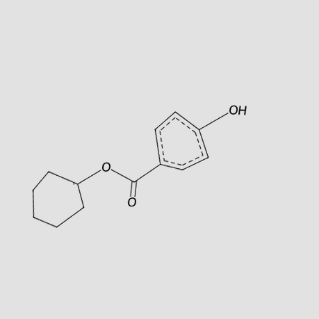 O=C(O[C]1CCCCC1)c1ccc(O)cc1